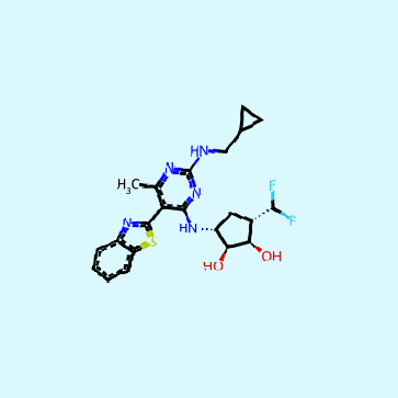 Cc1nc(NCC2CC2)nc(N[C@@H]2C[C@H](C(F)F)[C@@H](O)[C@H]2O)c1-c1nc2ccccc2s1